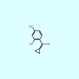 OC(=C1CC1)c1ccc(C(F)(F)F)cc1O